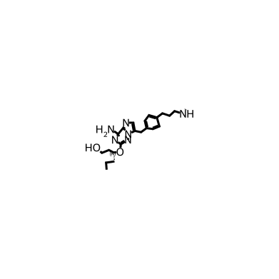 CCC[C@H](CCO)Oc1nc(N)c2ncc(Cc3ccc(CCCNC)cc3)n2n1